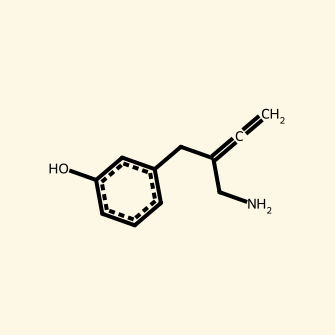 C=C=C(CN)Cc1cccc(O)c1